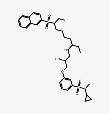 CCC(CCCCC(CC)S(=O)(=O)c1ccc2ccccc2c1)NC[C@H](O)COc1cccc(S(=O)(=O)N(C)C2CC2)c1